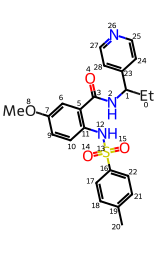 CCC(NC(=O)c1cc(OC)ccc1NS(=O)(=O)c1ccc(C)cc1)c1ccncc1